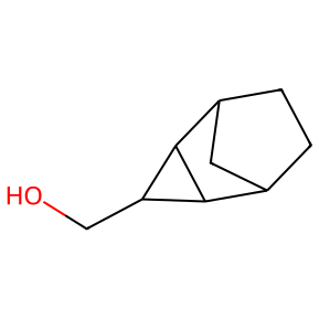 OCC1C2C3CCC(C3)C12